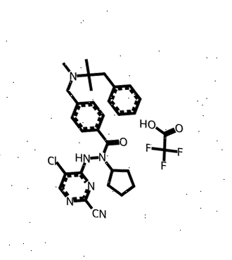 CN(Cc1ccc(C(=O)N(Nc2nc(C#N)ncc2Cl)C2CCCC2)cc1)C(C)(C)Cc1ccccc1.O=C(O)C(F)(F)F